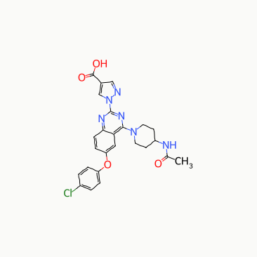 CC(=O)NC1CCN(c2nc(-n3cc(C(=O)O)cn3)nc3ccc(Oc4ccc(Cl)cc4)cc23)CC1